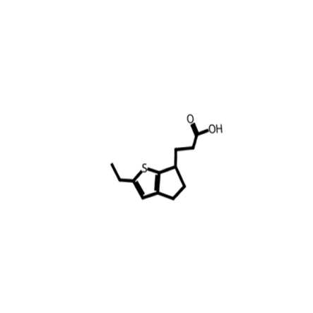 CCc1cc2c(s1)C(CCC(=O)O)CC2